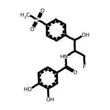 CS(=O)(=O)c1ccc(C(O)C(CF)NC(=O)c2ccc(O)c(O)c2)cc1